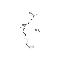 CCCCCCCCCCCCCCCC(C)(C)NCCCC(C)Cl.N